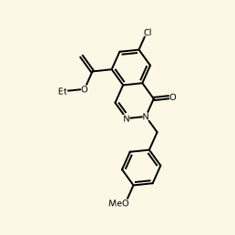 C=C(OCC)c1cc(Cl)cc2c(=O)n(Cc3ccc(OC)cc3)ncc12